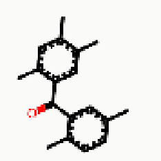 Cc1ccc(C)c(C(=O)c2cc(C)c(C)cc2C)c1